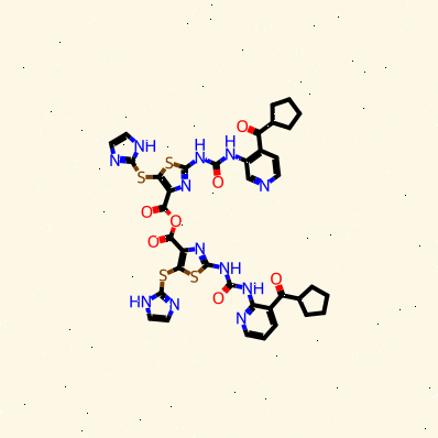 O=C(Nc1nc(C(=O)OC(=O)c2nc(NC(=O)Nc3ncccc3C(=O)C3CCCC3)sc2Sc2ncc[nH]2)c(Sc2ncc[nH]2)s1)Nc1cnccc1C(=O)C1CCCC1